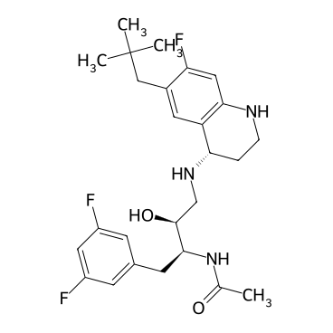 CC(=O)N[C@@H](Cc1cc(F)cc(F)c1)[C@@H](O)CN[C@H]1CCNc2cc(F)c(CC(C)(C)C)cc21